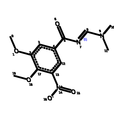 COc1cc(C(=O)/N=C/N(C)C)cc([N+](=O)[O-])c1OC